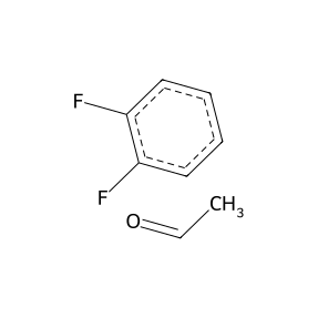 CC=O.Fc1ccccc1F